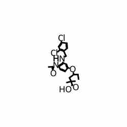 CCC(CC(C)(C)C(=O)O)Oc1ccc(NC(C)=O)c(NCc2ccc(Cl)cc2Cl)c1